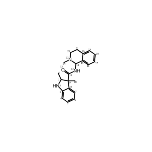 CC1Nc2ccccc2C1(C)C(=O)NC1c2ccccc2CCN1C